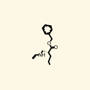 C=CNC[C@@H](CCC)C(=O)OCc1ccccc1